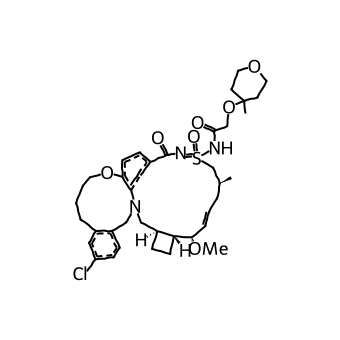 CO[C@H]1/C=C/C[C@H](C)CS(=O)(NC(=O)COC2(C)CCOCC2)=NC(=O)c2ccc3c(c2)N(Cc2ccc(Cl)cc2CCCCO3)C[C@@H]2CC[C@H]21